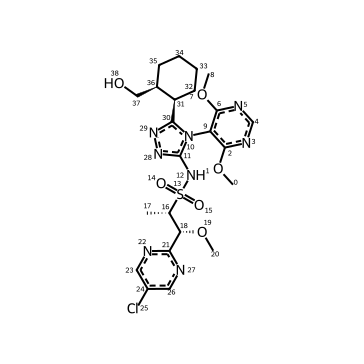 COc1ncnc(OC)c1-n1c(NS(=O)(=O)[C@@H](C)[C@H](OC)c2ncc(Cl)cn2)nnc1[C@@H]1CCCC[C@@H]1CO